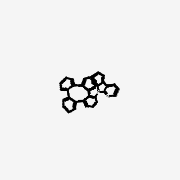 c1ccc2c(c1)-c1ccccc1-c1cccc(-n3c4ccccc4c4cccnc43)c1-c1ccccc1-2